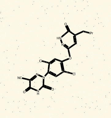 CC(C)Cc1cc(Oc2cc(Cl)c(-n3nc(C#N)c(=O)[nH]c3=O)cc2Cl)n[nH]c1=O